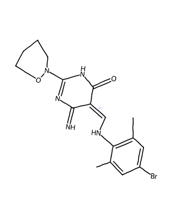 Cc1cc(Br)cc(C)c1N/C=C1\C(=N)N=C(N2CCCCO2)NC1=O